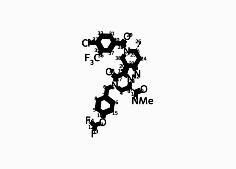 CNC(=O)[C@@H]1CN(Cc2ccc(OC(F)F)cc2)C(=O)c2c3c(nn21)C[C@@H](C)N(C(=O)c1ccc(Cl)c(C(F)(F)F)c1)C3